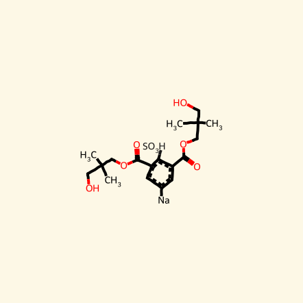 CC(C)(CO)COC(=O)c1c[c]([Na])cc(C(=O)OCC(C)(C)CO)c1S(=O)(=O)O